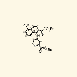 CCOC(=O)c1nn(C2CCCN(C(=O)OC(C)(C)C)C2)c2c1CSc1c(Cl)cccc1-2